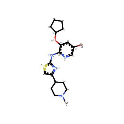 CC(=O)N1CCC(c2csc(Nc3ncc(Br)cc3OC3CCCC3)n2)CC1